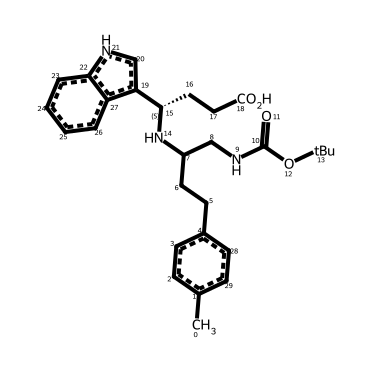 Cc1ccc(CCC(CNC(=O)OC(C)(C)C)N[C@@H](CCC(=O)O)c2c[nH]c3ccccc23)cc1